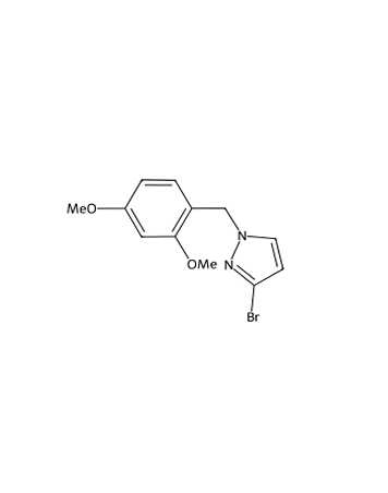 COc1ccc(Cn2ccc(Br)n2)c(OC)c1